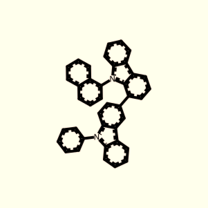 c1ccc(-n2c3ccccc3c3cc(-c4cccc5c6ccccc6n(-c6cccc7ccccc67)c45)ccc32)cc1